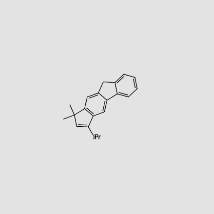 CC(C)C1=CC(C)(C)c2cc3c(cc21)-c1ccccc1C3